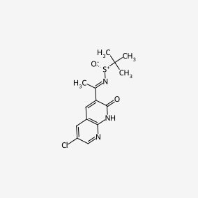 C/C(=N\[S@+]([O-])C(C)(C)C)c1cc2cc(Cl)cnc2[nH]c1=O